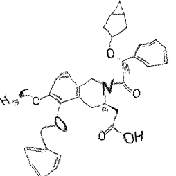 COc1ccc2c(c1OCc1ccccc1)C[C@H](CC(=O)O)N(C(=O)[C@H](OC1CC3CC3C1)c1ccccc1)C2